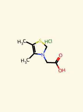 CC1=C(C)N(CC(=O)O)CS1.Cl